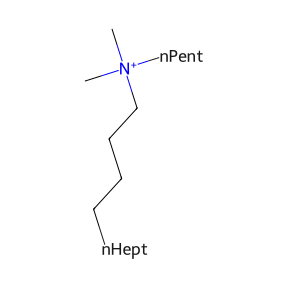 CCCCCCCCCCC[N+](C)(C)CCCCC